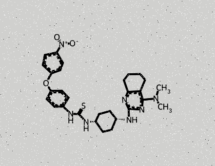 CN(C)c1nc(N[C@H]2CC[C@@H](NC(=S)Nc3ccc(Oc4ccc([N+](=O)[O-])cc4)cc3)CC2)nc2c1CCCC2